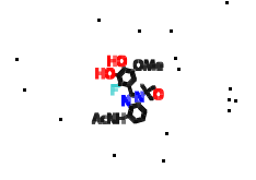 COc1cc(-c2nc3c(NC(C)=O)cccc3n2C2(C)COC2)c(F)c(O)c1O